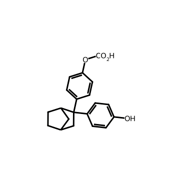 O=C(O)Oc1ccc(C2(c3ccc(O)cc3)CC3CCC2C3)cc1